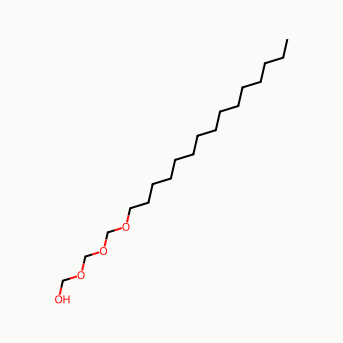 CCCCCCCCCCCCCCCOCOCOCO